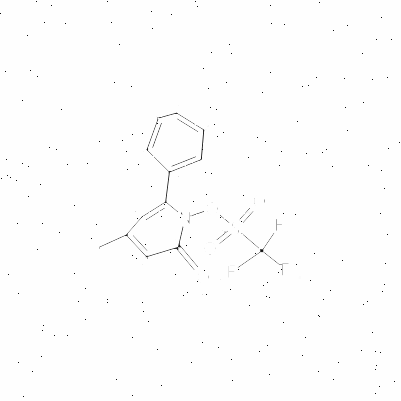 Cc1cc(-c2ccccc2)n(OS(=O)(=O)C(F)(F)F)c(=O)c1